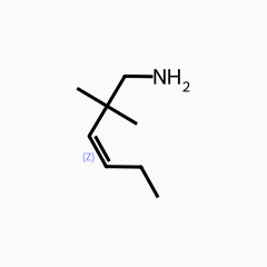 CC/C=C\C(C)(C)CN